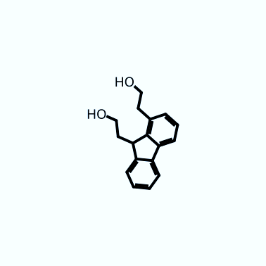 OCCc1cccc2c1C(CCO)c1ccccc1-2